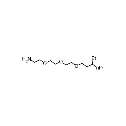 CCCC(CC)CCOCCOCCOCCN